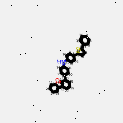 c1ccc(-c2ccc(-c3ccc(Nc4ccc(-c5cccc6c5oc5ccccc56)cc4)cc3)s2)cc1